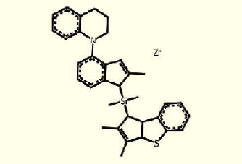 CC1=Cc2c(cccc2N2CCCc3ccccc32)C1[Si](C)(C)C1C(C)=C(C)C2Sc3ccccc3C21.[Zr]